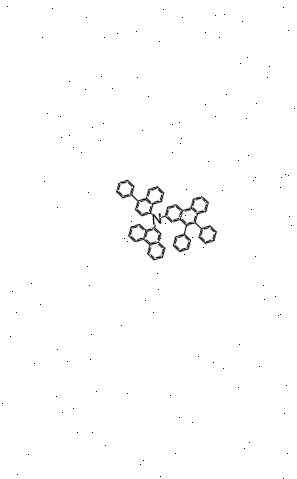 c1ccc(-c2ccc(N(c3ccc4c(c3)c(-c3ccccc3)c(-c3ccccc3)c3ccccc34)c3cc4ccccc4c4ccccc34)c3ccccc23)cc1